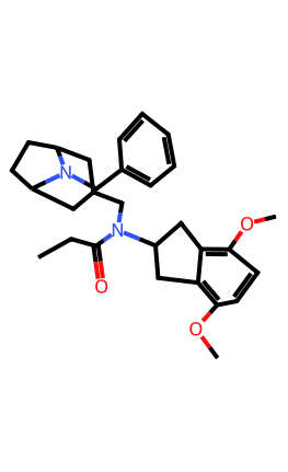 CCC(=O)N(CC1CC2CCC(C1)N2Cc1ccccc1)C1Cc2c(OC)ccc(OC)c2C1